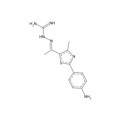 C/C(=N\NC(=N)N)c1sc(-c2ccc(N)cc2)nc1C